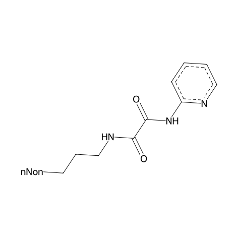 CCCCCCCCCCCCNC(=O)C(=O)Nc1ccccn1